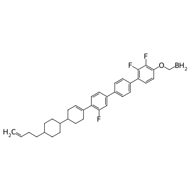 BCOc1ccc(-c2ccc(-c3ccc(C4=CCC(C5CCC(CCC=C)CC5)CC4)c(F)c3)cc2)c(F)c1F